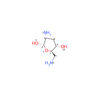 NC[C@H]1O[C@H](O)[C@H](N)C[C@@H]1O